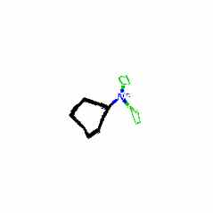 Cl[N+](Cl)C1CCCC1